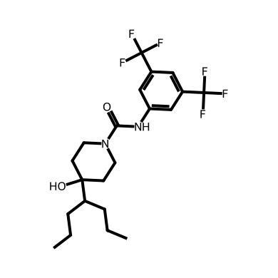 CCCC(CCC)C1(O)CCN(C(=O)Nc2cc(C(F)(F)F)cc(C(F)(F)F)c2)CC1